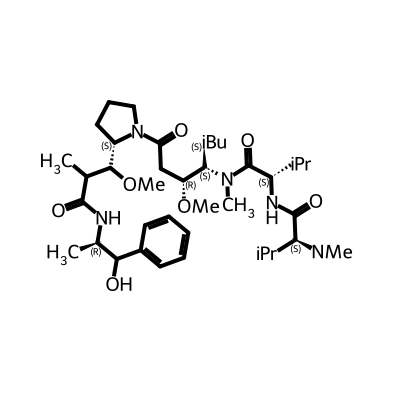 CC[C@H](C)[C@@H]([C@@H](CC(=O)N1CCC[C@H]1C(OC)C(C)C(=O)N[C@H](C)C(O)c1ccccc1)OC)N(C)C(=O)[C@@H](NC(=O)[C@@H](NC)C(C)C)C(C)C